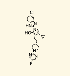 Oc1c(CCC2CCN(c3ncc(F)cn3)CC2)c(C2CC2)nn1-c1nc2cc(Cl)ccc2[nH]1